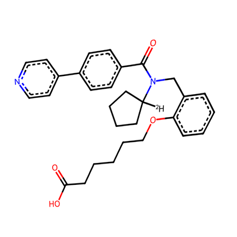 [2H]C1(N(Cc2ccccc2OCCCCCC(=O)O)C(=O)c2ccc(-c3ccncc3)cc2)CCCC1